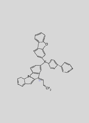 C=C/C=c1\c2n(c3ccc(N(c4ccc(-c5ccccc5)cc4)c4ccc5c(c4)oc4ccccc45)cc13)C1CC=CC=C1C=2